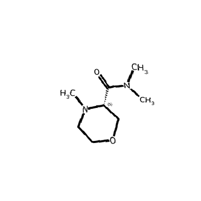 CN(C)C(=O)[C@@H]1COCCN1C